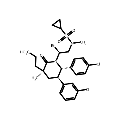 CC[C@@H](CN(C)S(=O)(=O)C1CC1)N1C(=O)[C@](C)(CCC(=O)O)C[C@H](c2cccc(Cl)c2)[C@H]1c1ccc(Cl)cc1